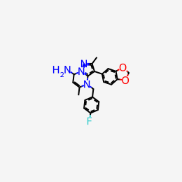 CC1=CC(N)n2nc(C)c(-c3ccc4c(c3)OCO4)c2N1Cc1ccc(F)cc1